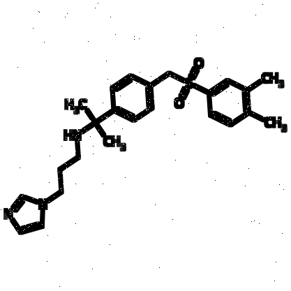 Cc1ccc(S(=O)(=O)Cc2ccc(C(C)(C)NCCCn3ccnc3)cc2)cc1C